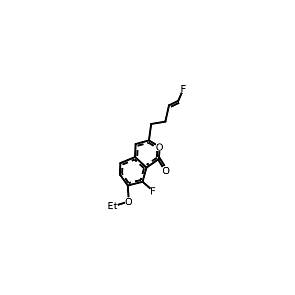 CCOc1ccc2cc(CC/C=C/F)oc(=O)c2c1F